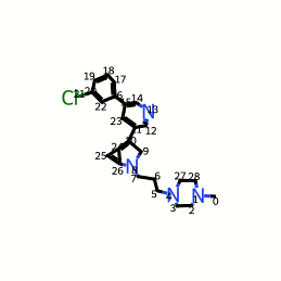 CN1CCN(CCCN2CC(c3cncc(-c4cccc(Cl)c4)c3)=C3C=C32)CC1